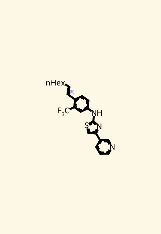 CCCCCC/C=C/c1ccc(Nc2nc(-c3cccnc3)cs2)cc1C(F)(F)F